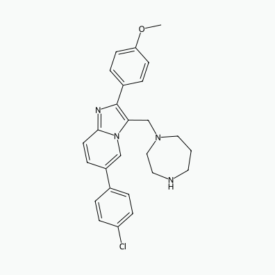 COc1ccc(-c2nc3ccc(-c4ccc(Cl)cc4)cn3c2CN2CCCNCC2)cc1